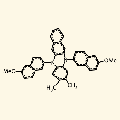 COc1ccc2cc(N3c4cc(C)c(C)cc4N(c4ccc5cc(OC)ccc5c4)c4cc5ccccc5cc43)ccc2c1